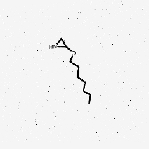 CCCCCCCOC1CN1